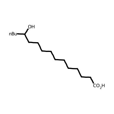 CCCCC(O)CCCCCCCCCCC(=O)O